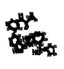 O=C(Nc1cncc(-c2cnc3[nH]nc(-c4nc5c(C(O)N6CCCC6)ccnc5[nH]4)c3c2)c1)C1CC1